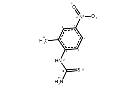 Cc1cc([N+](=O)[O-])ccc1NC(N)=S